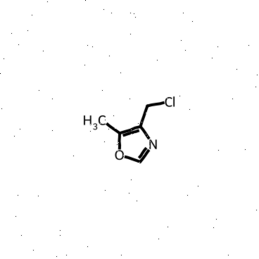 Cc1ocnc1CCl